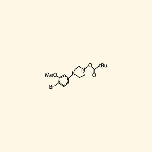 COc1cc(N2CCN(OC(=O)C(C)(C)C)CC2)ccc1Br